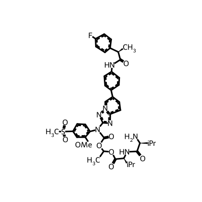 COc1cc(S(C)(=O)=O)ccc1N(C(=O)OC(C)OC(=O)[C@@H](NC(=O)[C@@H](N)C(C)C)C(C)C)c1nc2ccc(-c3ccc(NC(=O)[C@H](C)c4ccc(F)cc4)cc3)cn2n1